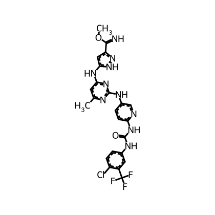 COC(=N)c1cc(Nc2cc(C)nc(Nc3ccc(NC(=O)Nc4ccc(Cl)c(C(F)(F)F)c4)nc3)n2)[nH]n1